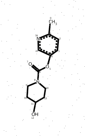 Cc1ccc(OC(=O)N2CCC(O)CC2)cn1